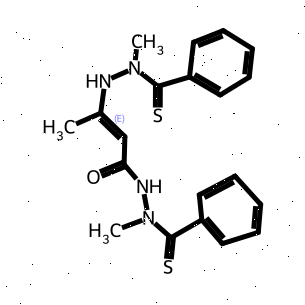 C/C(=C\C(=O)NN(C)C(=S)c1ccccc1)NN(C)C(=S)c1ccccc1